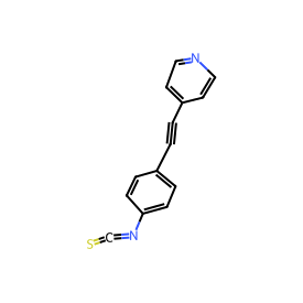 S=C=Nc1ccc(C#Cc2ccncc2)cc1